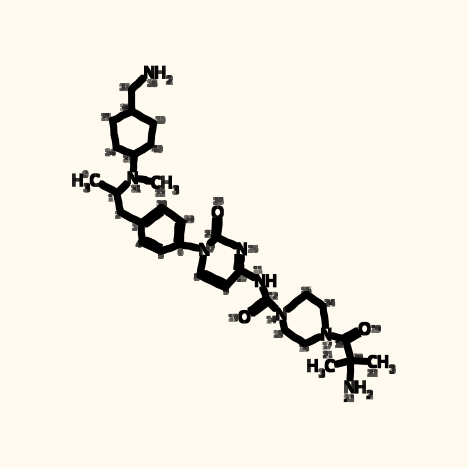 CC(Cc1ccc(-n2ccc(NC(=O)N3CCN(C(=O)C(C)(C)N)CC3)nc2=O)cc1)N(C)C1CCC(CN)CC1